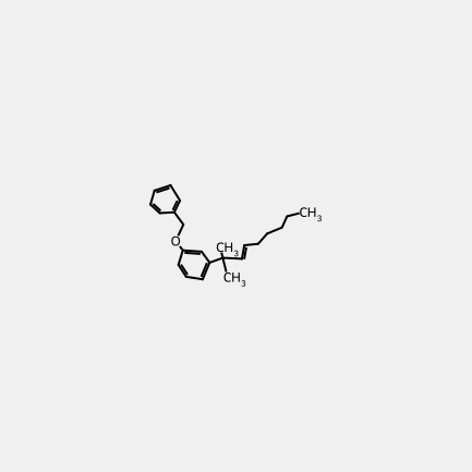 CCCCCC=CC(C)(C)c1cccc(OCc2ccccc2)c1